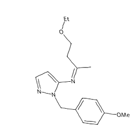 CCOCCC(C)=Nc1ccnn1Cc1ccc(OC)cc1